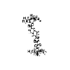 CC1(C)CC(OC(=O)C2=CCC(C3CCC4CC(C(=O)OC5CC(C)(C)NC(C)(C)C5)CCC4C3)CO2)CC(C)(C)N1